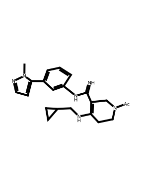 CC(=O)N1CCC(NCC2CC2)=C(C(=N)Nc2cccc(-c3ccnn3C)c2)C1